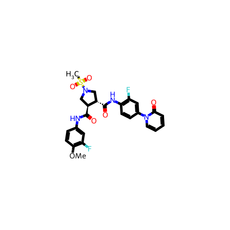 COc1ccc(NC(=O)[C@H]2CN(S(C)(=O)=O)C[C@@H]2C(=O)Nc2ccc(-n3ccccc3=O)cc2F)cc1F